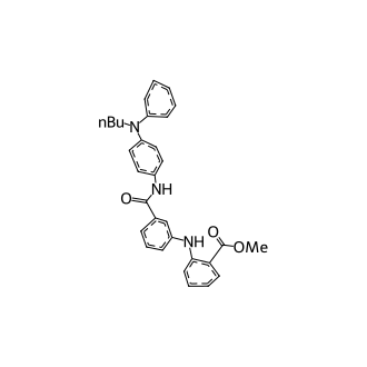 CCCCN(c1ccccc1)c1ccc(NC(=O)c2cccc(Nc3ccccc3C(=O)OC)c2)cc1